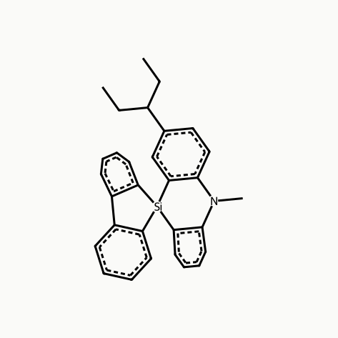 CCC(CC)c1ccc2c(c1)[Si]1(c3ccccc3-c3ccccc31)c1ccccc1N2C